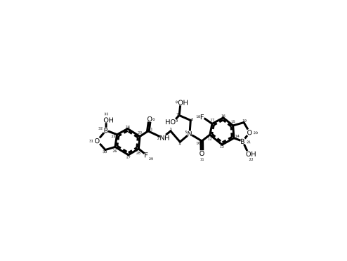 O=C(NCCN(CC(O)O)C(=O)c1cc2c(cc1F)COB2O)c1cc2c(cc1F)COB2O